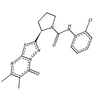 Cc1nc2sc([C@H]3CCCN3C(=O)Nc3ccccc3Cl)nn2c(=O)c1C